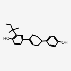 CCC(C)(C)c1cc(C2=CCC(c3ccc(O)cc3)CC2)ccc1O